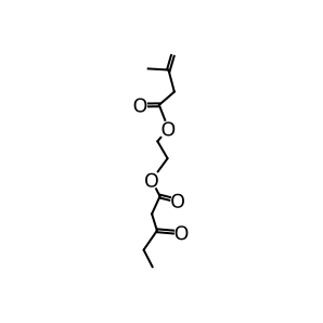 C=C(C)CC(=O)OCCOC(=O)CC(=O)CC